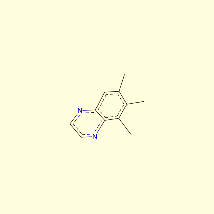 Cc1cc2nccnc2c(C)c1C